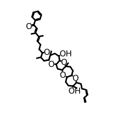 C=C/C=C\CCC1OC2CCC3(C)OC4C(O)CC5(C)OC(CC/C=C(C)/C(C)=C/C(=O)c6ccccc6)C(C)CC5OC4CC3OC2CCC1(C)O